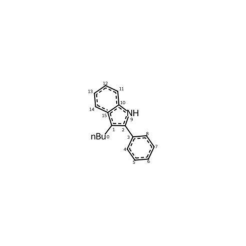 CCCCc1c(-c2ccccc2)[nH]c2ccccc12